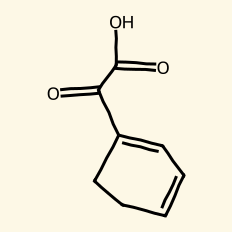 O=C(O)C(=O)C1=CC=CCC1